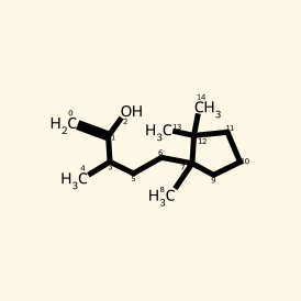 C=C(O)C(C)CCC1(C)CCCC1(C)C